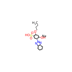 CCCCOc1cc(O)c(-n2nc3ccccc3n2)cc1S(=O)(=O)O.[Na]